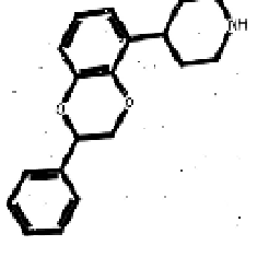 c1ccc(C2COc3c(cccc3C3CCNCC3)O2)cc1